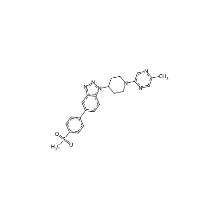 Cc1cnc(N2CCC(n3nnc4cc(-c5ccc(S(C)(=O)=O)cc5)ccc43)CC2)cn1